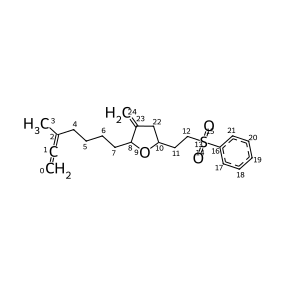 C=C=C(C)CCCCC1OC(CCS(=O)(=O)c2ccccc2)CC1=C